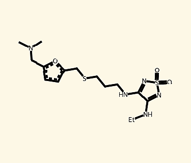 CCNC1=NS(=O)(=O)N=C1NCCCSCc1ccc(CN(C)C)o1